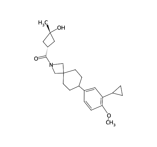 COc1ccc(C2CCC3(CC2)CN(C(=O)[C@H]2C[C@@](C)(O)C2)C3)cc1C1CC1